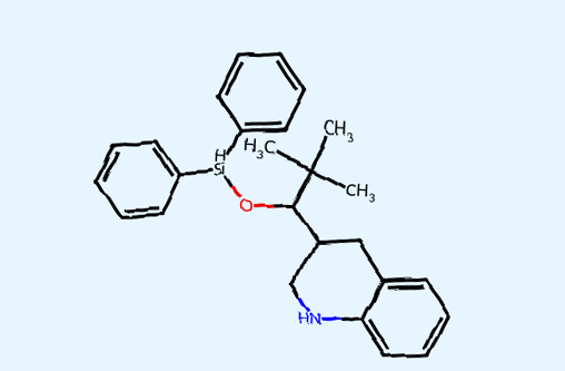 CC(C)(C)C(O[SiH](c1ccccc1)c1ccccc1)C1CNc2ccccc2C1